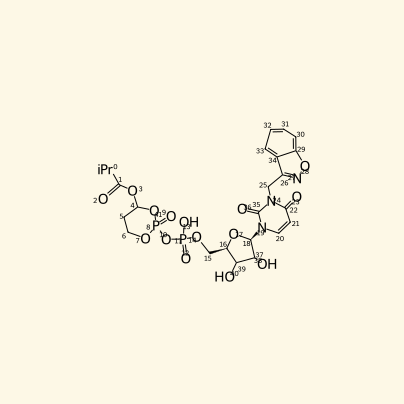 CC(C)C(=O)OC1CCOP(=O)(OP(=O)(O)OC[C@H]2O[C@@H](n3ccc(=O)n(Cc4noc5ccccc45)c3=O)C(O)C2O)O1